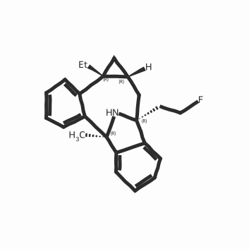 CC[C@@]12C[C@@H]1C[C@]1(CCF)N[C@@](C)(c3ccccc31)c1ccccc12